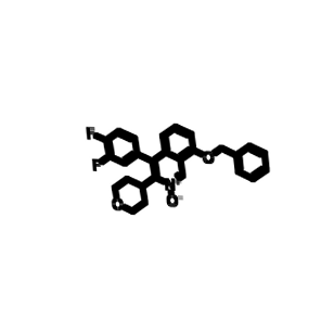 [O-][n+]1cc2c(OCc3ccccc3)cccc2c(-c2ccc(F)c(F)c2)c1C1CCOCC1